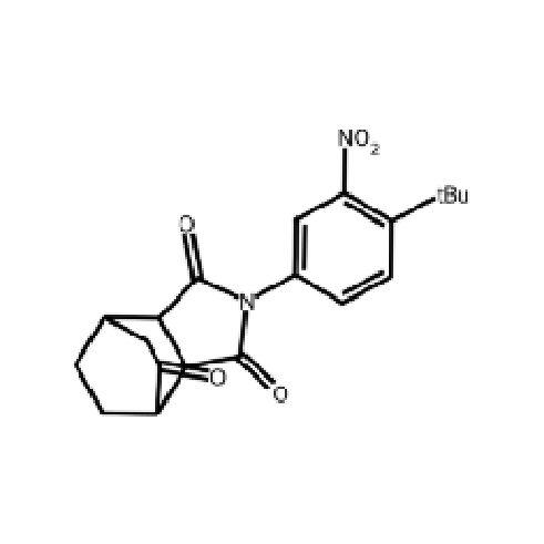 CC(C)(C)c1ccc(N2C(=O)C3C4CCC(C(=O)C4)C3C2=O)cc1[N+](=O)[O-]